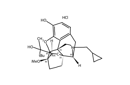 CO[C@]12CC[C@@]3(C[C@@H]1C(C)(O)C(C)(C)C)[C@H]1Cc4ccc(O)c5c4[C@@]3(CCN1CC1CC1)[C@H]2O5.Cl